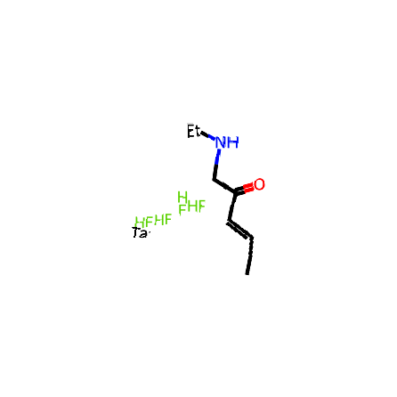 CC=CC(=O)CNCC.F.F.F.F.[Ta]